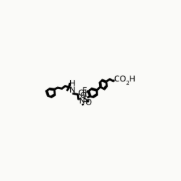 CN(CC(O)CNC(C)(C)CCCc1ccccc1)S(=O)(=O)c1ccc(-c2ccc(CCC(=O)O)cc2)cc1F